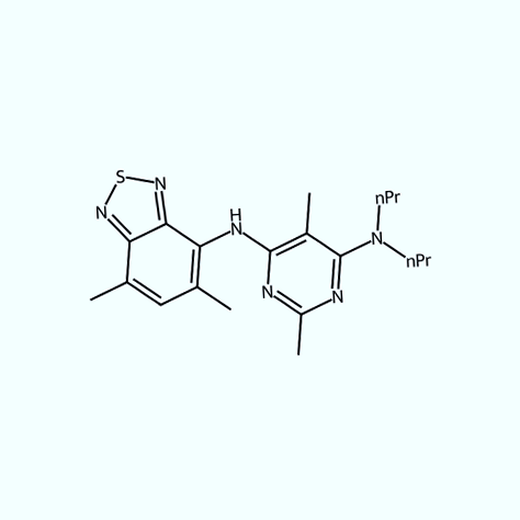 CCCN(CCC)c1nc(C)nc(Nc2c(C)cc(C)c3nsnc23)c1C